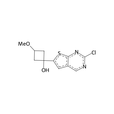 COC1CC(O)(c2cc3cnc(Cl)nc3s2)C1